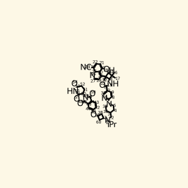 CC(C)N(CC1CCN(c2ccc(C(=O)NC3C(C)(C)[C@@H]4Oc5ccc(C#N)c6nccc(c56)C34C)cn2)CC1)[C@H]1C[C@@H](Oc2ccc3c(c2)C(=O)N(C2CCC(=O)NC2=O)C3=O)C1